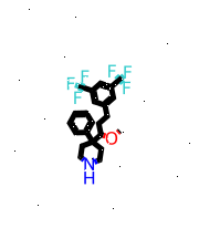 COC(CCc1cc(C(F)(F)F)cc(C(F)(F)F)c1)C1(c2ccccc2)CCNCC1